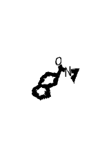 O=C(c1ccc2ccccc2c1)N1CC1